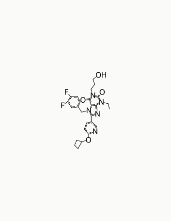 CCn1c(=O)n(CCCO)c(=O)c2c1nc(-c1ccc(OC3CCC3)nc1)n2Cc1ccc(F)c(F)c1